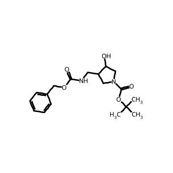 CC(C)(C)OC(=O)N1CC(O)C(CNC(=O)OCc2ccccc2)C1